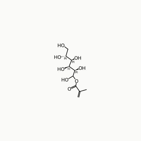 C=C(C)C(=O)OC(O)[C@H](O)[C@@H](O)[C@H](O)[C@H](O)CO